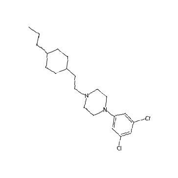 CCCC1CCC(CCN2CCN(c3cc(Cl)cc(Cl)c3)CC2)CC1